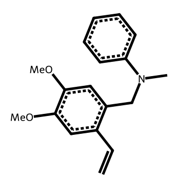 C=Cc1cc(OC)c(OC)cc1CN(C)c1ccccc1